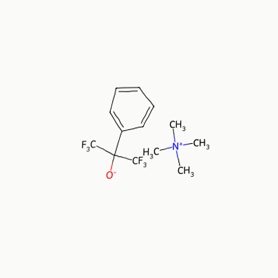 C[N+](C)(C)C.[O-]C(c1ccccc1)(C(F)(F)F)C(F)(F)F